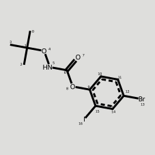 CC(C)(C)ONC(=O)Oc1ccc(Br)cc1I